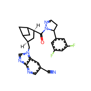 N#Cc1cnc2ncn(C[C@@H]3C[C@H](C(=O)N4N=CCC4c4cc(F)cc(F)c4)C4CC3C4)c2c1